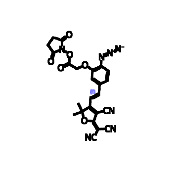 CC1(C)OC(=C(C#N)C#N)C(C#N)=C1/C=C/c1ccc(N=[N+]=[N-])c(OCC(=O)ON2C(=O)CCC2=O)c1